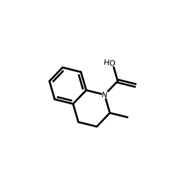 C=C(O)N1c2ccccc2CCC1C